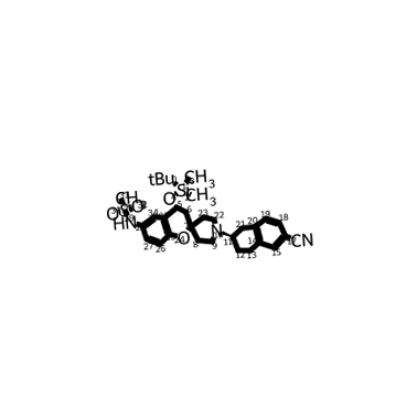 CC(C)(C)[Si](C)(C)O[C@@H]1CC2(CCN([C@@H]3CCc4cc(C#N)ccc4C3)CC2)Oc2ccc(NS(C)(=O)=O)cc21